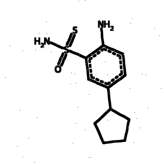 Nc1ccc(C2CCCC2)cc1S(N)(=O)=S